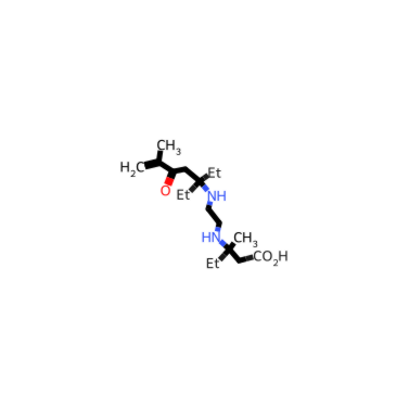 C=C(C)C(=O)CC(CC)(CC)NCCNC(C)(CC)CC(=O)O